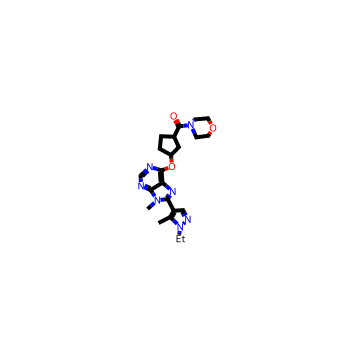 CCn1ncc(-c2nc3c(OC4CCC(C(=O)N5CCOCC5)C4)ncnc3n2C)c1C